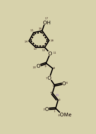 COC(=O)/C=C/C(=O)OCC(=O)Oc1cccc(O)c1